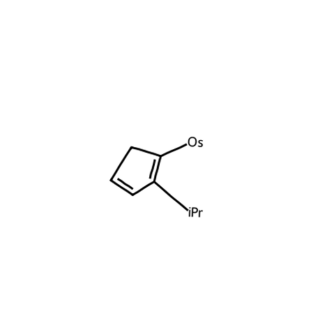 CC(C)C1=[C]([Os])CC=C1